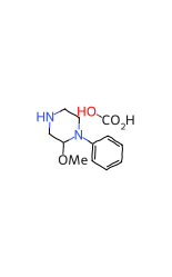 COC1CNCCN1c1ccccc1.O=C(O)O